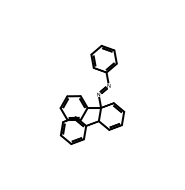 C1=CC(c2ccccc2)C(N=Nc2ccccc2)(c2ccccc2)C=C1